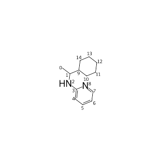 CC(Nc1ccccn1)C1CCCCC1